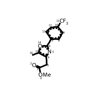 COC(=O)Cc1nc(-c2ccc(C(F)(F)F)cc2)oc1C